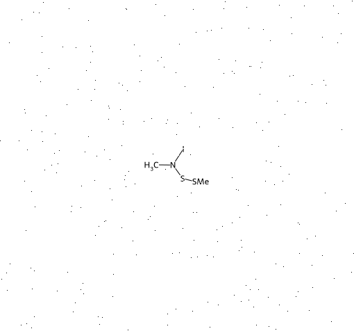 CSSN(C)I